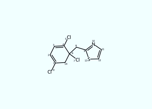 ClC1=CC=C(Cl)C(Cl)(Cc2nccs2)C1